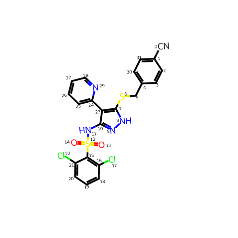 N#Cc1ccc(CSc2[nH]nc(NS(=O)(=O)c3c(Cl)cccc3Cl)c2-c2ccccn2)cc1